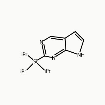 CC(C)[Si](c1ncc2cc[nH]c2n1)(C(C)C)C(C)C